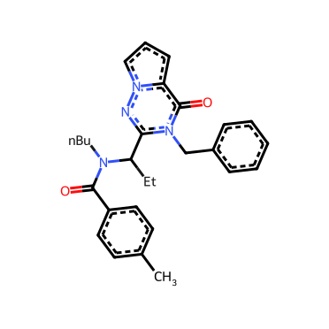 CCCCN(C(=O)c1ccc(C)cc1)C(CC)c1nn2cccc2c(=O)n1Cc1ccccc1